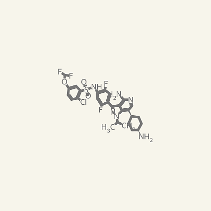 CC(C)n1nc(-c2cc(F)c(NS(=O)(=O)c3cc(OC(F)F)ccc3Cl)cc2F)c2c(N)ncc([C@H]3CC[C@H](N)CC3)c21